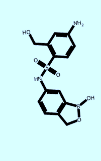 Nc1ccc(S(=O)(=O)Nc2ccc3c(c2)B(O)OC3)c(CO)c1